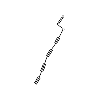 C#CC#CC#CC#COC=O